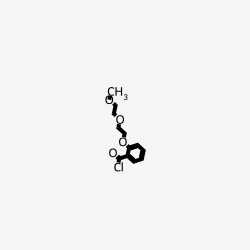 COCCOCCOc1ccccc1C(=O)Cl